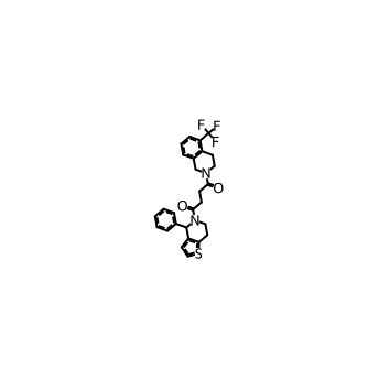 O=C(CCC(=O)N1CCc2sccc2C1c1ccccc1)N1CCc2c(cccc2C(F)(F)F)C1